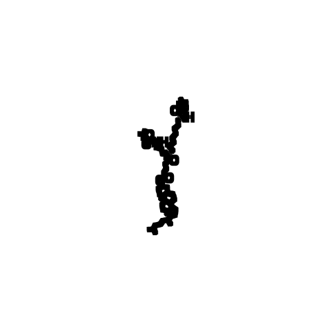 CC(C)CCCC(C)C1CCC2C3CC=C4CC(OC(=O)CCCC(=O)N(CCCCCCCCNC(=O)OC(C)(C)C)CCCNC(=O)OC(C)(C)C)CCC4(C)C3CCC12C